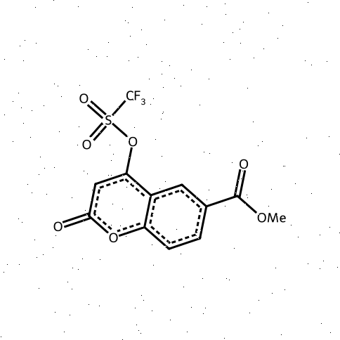 COC(=O)c1ccc2oc(=O)cc(OS(=O)(=O)C(F)(F)F)c2c1